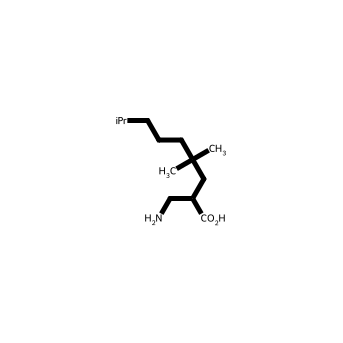 CC(C)CCCC(C)(C)CC(CN)C(=O)O